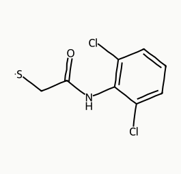 O=C(C[S])Nc1c(Cl)cccc1Cl